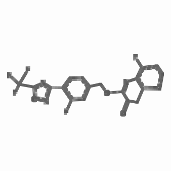 O=C1Cc2cccc(F)c2N=C1OCc1ccc(-c2noc(C(F)(F)F)n2)c(F)c1